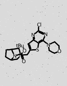 CC(C)(C)OC(=O)N1C2CCC1CN(Cc1cc3nc(Cl)nc(N4CCOCC4)c3s1)C2